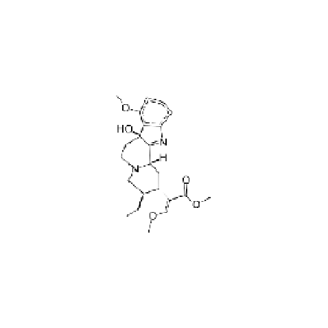 CC[C@H]1CN2CC[C@@]3(O)C(=Nc4cccc(OC)c43)[C@@H]2C[C@@H]1/C(=C\OC)C(=O)OC